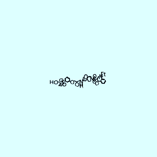 CCn1cc(S(=O)(=O)N2CCC3(CC2)C[C@H](NCC(O)COc2cccc(S(=O)(=O)C4(CO)CC4)c2)CO3)c(=O)c2ccccc21